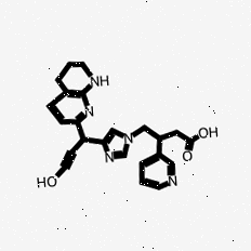 O=C(O)CC(Cn1cnc(C(C#CO)c2ccc3c(n2)NCCC3)c1)c1cccnc1